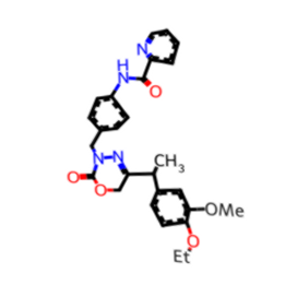 CCOc1ccc(C(C)C2=NN(Cc3ccc(NC(=O)c4ccccn4)cc3)C(=O)OC2)cc1OC